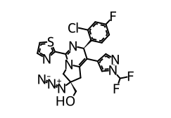 [N-]=[N+]=N[C@@]1(CO)CC2=C(c3cnn(C(F)F)c3)[C@H](c3ccc(F)cc3Cl)N=C(c3nccs3)N2C1